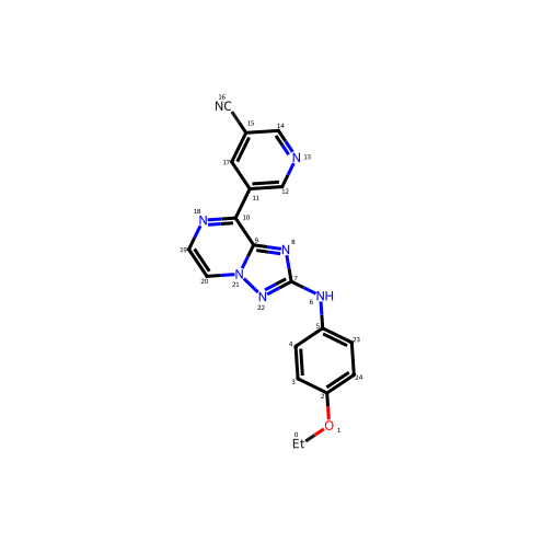 CCOc1ccc(Nc2nc3c(-c4cncc(C#N)c4)nccn3n2)cc1